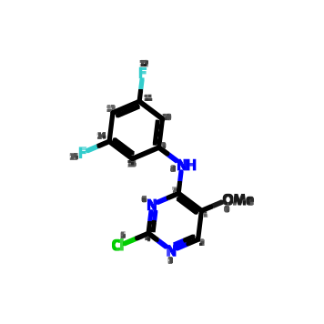 COc1cnc(Cl)nc1Nc1cc(F)cc(F)c1